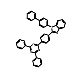 c1ccc(-c2ccc(-n3c(-c4ccc(-c5nc(-c6ccccc6)nc(-c6ccccc6)n5)cc4)nc4ccccc43)cc2)cc1